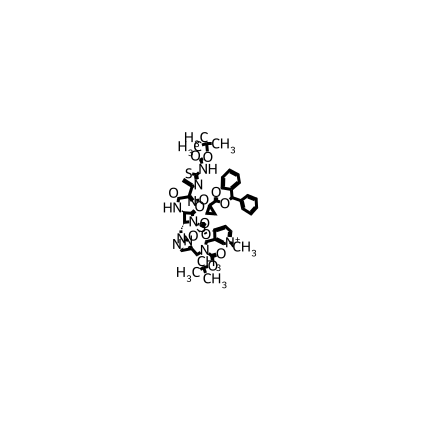 C[n+]1cccc(CN(Cc2cnn(C[C@@H]3[C@H](NC(=O)C(=NOC4(C(=O)OC(c5ccccc5)c5ccccc5)CC4)c4csc(NC(=O)OC(C)(C)C)n4)C(=O)N3S(=O)(=O)[O-])n2)C(=O)OC(C)(C)C)c1